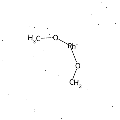 C[O][Rh-][O]C